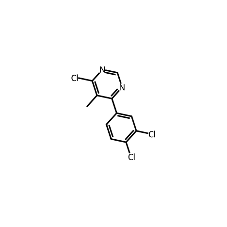 Cc1c(Cl)ncnc1-c1ccc(Cl)c(Cl)c1